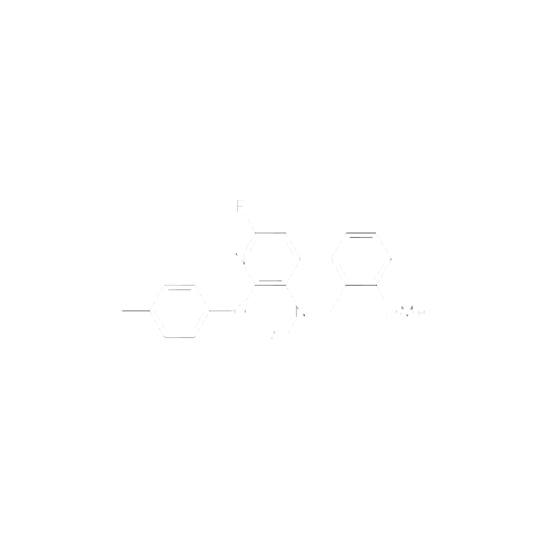 COc1ccccc1CN(C(C)=O)c1ccc(F)nc1Oc1ccc(I)cc1